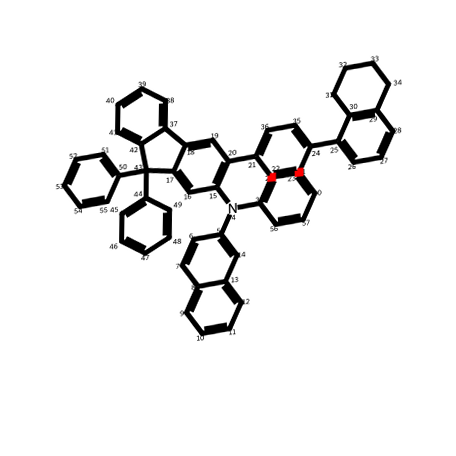 c1ccc(N(c2ccc3ccccc3c2)c2cc3c(cc2-c2ccc(-c4cccc5c4CCCC5)cc2)-c2ccccc2C3(c2ccccc2)c2ccccc2)cc1